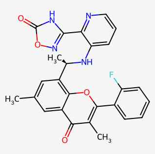 Cc1cc([C@@H](C)Nc2cccnc2-c2noc(=O)[nH]2)c2oc(-c3ccccc3F)c(C)c(=O)c2c1